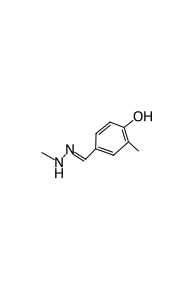 CN/N=C/c1ccc(O)c(C)c1